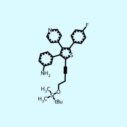 CC(C)(C)[Si](C)(C)OCCC#Cc1sc(-c2ccc(F)cc2)c(-c2ccncc2)c1-c1cccc(N)c1